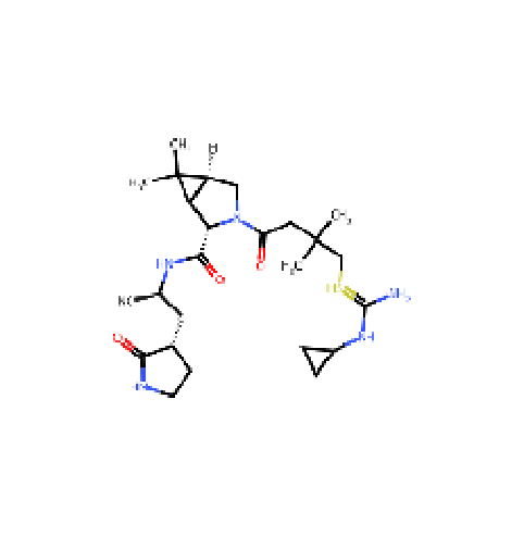 CC(C)(C/[SH]=C(\N)NC1CC1)CC(=O)N1C[C@H]2C([C@H]1C(=O)N[C@H](C#N)C[C@@H]1CCNC1=O)C2(C)C